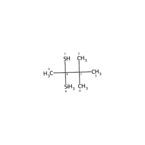 CC(C)(C)C(C)([SiH3])S